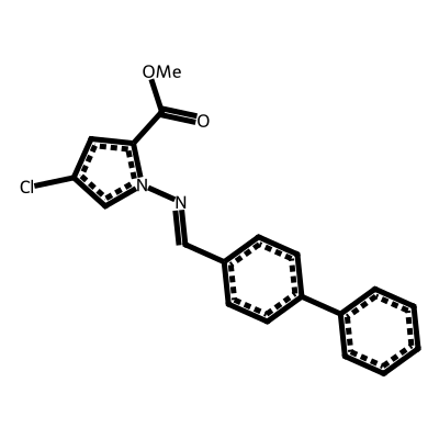 COC(=O)c1cc(Cl)cn1/N=C/c1ccc(-c2ccccc2)cc1